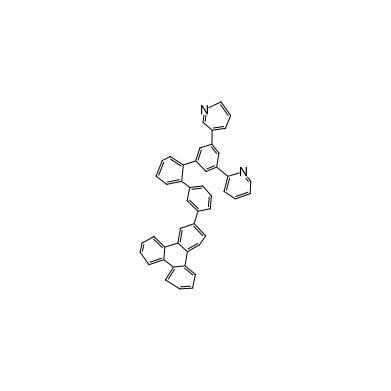 c1ccc(-c2cc(-c3cccnc3)cc(-c3ccccc3-c3cccc(-c4ccc5c6ccccc6c6ccccc6c5c4)c3)c2)nc1